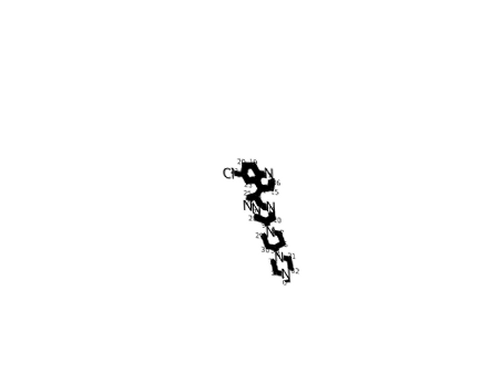 CN1CCN(C2CCN(c3cnc4c(-c5ccnc6ccc(Cl)cc56)cnn4c3)CC2)CC1